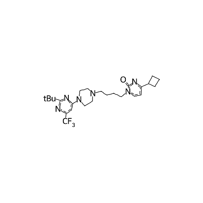 CC(C)(C)c1nc(N2CCN(CCCCn3ccc(C4CCC4)nc3=O)CC2)cc(C(F)(F)F)n1